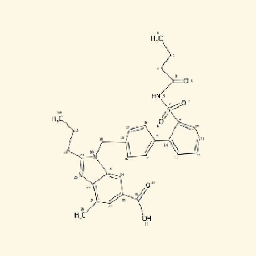 CCCC(=O)NS(=O)(=O)c1ccccc1-c1ccc(Cn2c(CCC)nc3c(C)cc(C(=O)O)cc32)cc1